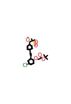 COC1c2ccc(C#Cc3cc(Cl)ccc3OCC(=O)OC(C)(C)C)cc2S(=O)(=O)C1(C)C